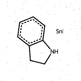 [Sn].c1ccc2c(c1)CCN2